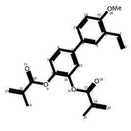 C=Cc1cc(-c2ccc(OC(=O)C(=C)C)c(OC(=O)C(=C)C)c2)ccc1OC